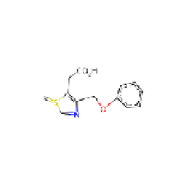 C=S1C=NC(COc2ccccc2)=C1CC(=O)O